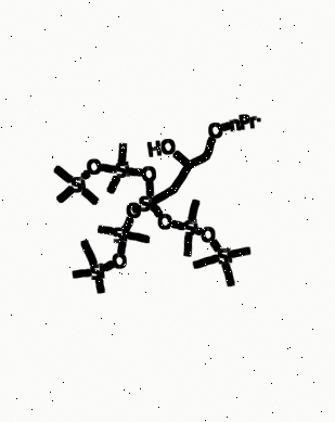 CC[CH]OCC(O)C[Si](O[Si](C)(C)O[Si](C)(C)C)(O[Si](C)(C)O[Si](C)(C)C)O[Si](C)(C)O[Si](C)(C)C